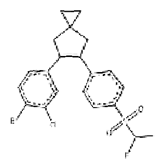 O=S(=O)(c1ccc(C2=C(c3ccc(Br)c(Cl)c3)CC3(CC3)C2)cc1)C(F)F